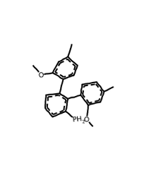 COc1cc(C)ccc1-c1cccc(P)c1-c1ccc(C)cc1OC